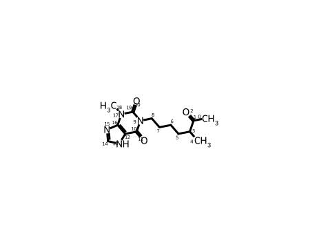 CC(=O)C(C)CCCCn1c(=O)c2[nH]cnc2n(C)c1=O